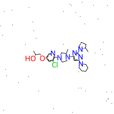 CC(O)COc1cnc(N2CCN(c3cc(N4CCCCC4)nc(N4CCCC4C)n3)C(C)C2)c(Cl)c1